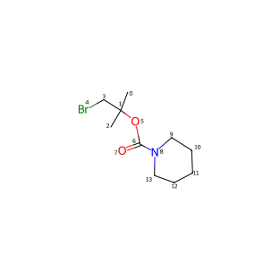 CC(C)(CBr)OC(=O)N1CCCCC1